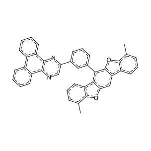 Cc1cccc2c1oc1c(-c3cccc(-c4cnc5c6ccccc6c6ccccc6c5n4)c3)c3c(cc12)oc1c(C)cccc13